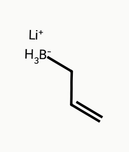 [BH3-]CC=C.[Li+]